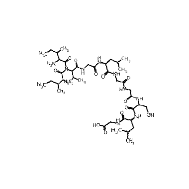 CCC(C)C(N)C(=O)N(C(=O)C(N)C(C)CC)C(C(=O)NCC(=O)NC(CC(C)C)C(=O)NCC(=O)NCC(=O)NC(CO)C(=O)NC(CC(C)C)C(=O)NCC(=O)O)C(C)C